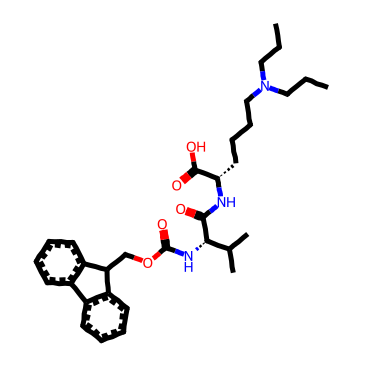 CCCN(CCC)CCCC[C@H](NC(=O)[C@@H](NC(=O)OCC1c2ccccc2-c2ccccc21)C(C)C)C(=O)O